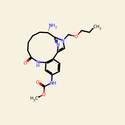 CCCOCn1cc2nc1[C@@H](N)CCCCC(=O)Nc1cc(NC(=O)OC)ccc1-2